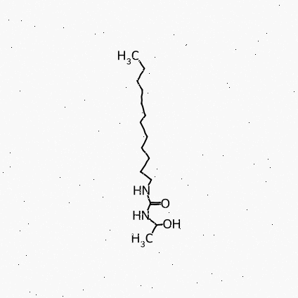 CCCCCCCCCCCCNC(=O)NC(C)O